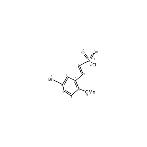 COc1ccc(Br)cc1C=CS(=O)(=O)Cl